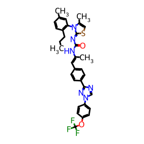 CCCc1ccc(C)cc1-n1c(C)cs/c1=N\C(=O)N/C(C)=C/c1ccc(-c2ncn(-c3ccc(OC(F)(F)F)cc3)n2)cc1